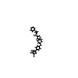 c1ccc([C@@H]2C[C@H]2NC2COC3(CCN(Cc4ccc(C5=NNNN5)cc4)CC3)C2)cc1